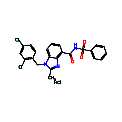 Cc1nc2c(C(=O)NS(=O)(=O)c3ccccc3)cccc2n1Cc1ccc(Cl)cc1Cl.Cl